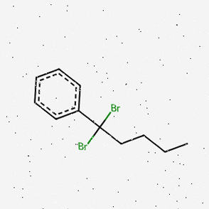 CCCCC(Br)(Br)c1ccccc1